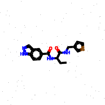 CCC(NC(=O)c1ccc2[nH]ncc2c1)C(=O)NCc1ccsc1